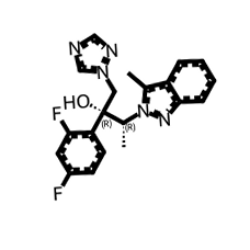 Cc1c2ccccc2nn1[C@H](C)[C@](O)(Cn1cncn1)c1ccc(F)cc1F